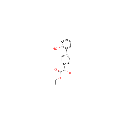 CCOC(=O)C(O)c1ccc(-c2ccccc2O)cc1